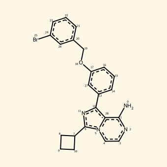 Nc1nccn2c(C3CCC3)nc(-c3cccc(OCc4cccc(Br)c4)c3)c12